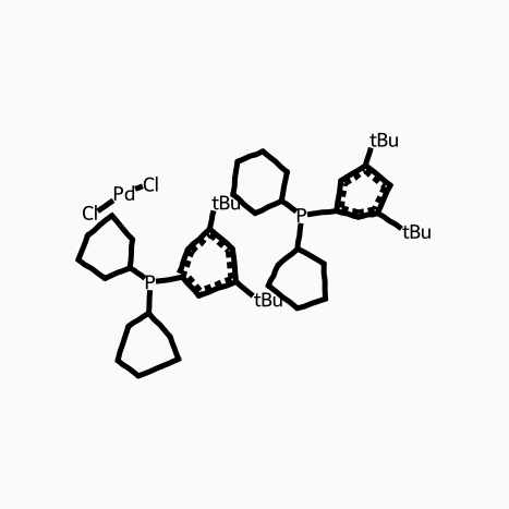 CC(C)(C)c1cc(P(C2CCCCC2)C2CCCCC2)cc(C(C)(C)C)c1.CC(C)(C)c1cc(P(C2CCCCC2)C2CCCCC2)cc(C(C)(C)C)c1.[Cl][Pd][Cl]